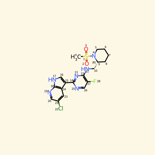 CS(=O)(=O)N1CCCC[C@@H]1CNc1nc(-c2c[nH]c3ncc(Cl)cc23)ncc1F